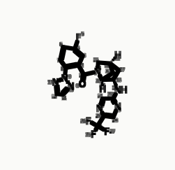 O=C(c1cc(F)ccc1-n1nccn1)N1C[C@H]2C[C@@H](Nc3cnc(C(F)(F)F)cn3)[C@@H]1C2